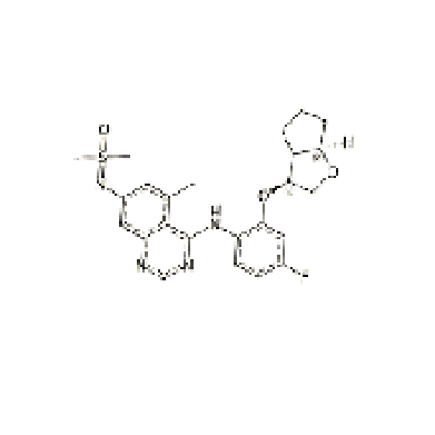 Cc1cc(N=S(C)(C)=O)cc2ncnc(Nc3ccc(F)cc3O[C@@H]3CO[C@@H]4CCCC43)c12